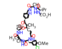 COc1ccc(C[C@H]2NC(=O)/C=C/C[C@@H]([C@H](C)[C@H]3O[C@@H]3c3ccc(CNC(=O)[C@H](C)NC(=O)[C@@H](NC(=O)O)C(C)C)cc3)OC(=O)[C@H](CC(C)(C)C)NC(=O)C(C)(C)CNC2=O)cc1Cl